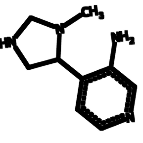 CN1CNCC1c1ccncc1N